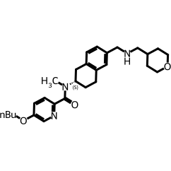 CCCCOc1ccc(C(=O)N(C)[C@H]2CCc3cc(CNCC4CCOCC4)ccc3C2)nc1